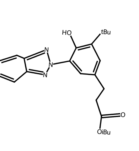 CC(C)COC(=O)CCc1cc(-n2nc3ccccc3n2)c(O)c(C(C)(C)C)c1